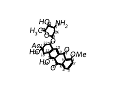 COc1cccc2c1C(=O)c1cc3c(c(O)c1C2=O)CC(O)(C(C)=O)CC3OC1CC(N)C(O)C(C)O1